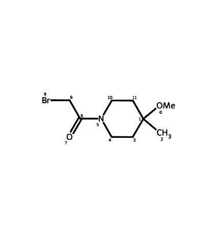 COC1(C)CCN(C(=O)CBr)CC1